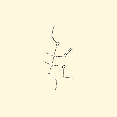 C=C[Si](C)(OCC)[Si](C)(OCC)OCC